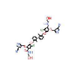 Cc1c(COc2cc(OCc3cncc(C#N)c3)c(CNCCO)cc2Cl)cccc1-c1cccc(COc2cc(OCc3cncc(C#N)c3)c(C(=O)NCCO)cc2Cl)c1C